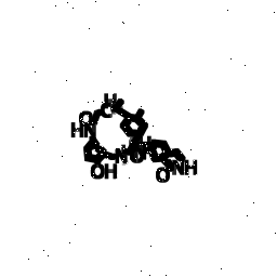 Cc1cc2ccc1[C@@H](C)CCC(=O)Nc1ccc(O)c(c1)CN(C)C(=O)[C@@H]2Nc1ccc2cc[nH]c(=O)c2c1